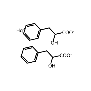 O=C([O-])C(O)Cc1ccccc1.O=C([O-])C(O)Cc1ccccc1.[Hg+2]